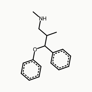 CNCC(C)C(Oc1ccccc1)c1ccccc1